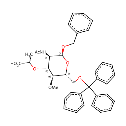 CO[C@H]1[C@H](OC(C)C(=O)O)[C@@H](NC(C)=O)[C@@H](OCc2ccccc2)O[C@@H]1COC(c1ccccc1)(c1ccccc1)c1ccccc1